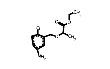 CCOC(=O)C(C)OCc1cc(N)ccc1Cl